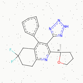 C[C@]1(c2nc3c(c(-c4ccccc4)c2-c2nn[nH]n2)CC(F)(F)CC3)CCCO1